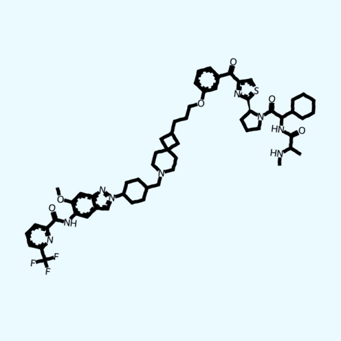 CNC(C)C(=O)NC(C(=O)N1CCC[C@H]1c1nc(C(=O)c2cccc(OCCCC3CC4(CCN(CC5CCC(n6cc7cc(NC(=O)c8cccc(C(F)(F)F)n8)c(OC)cc7n6)CC5)CC4)C3)c2)cs1)C1CCCCC1